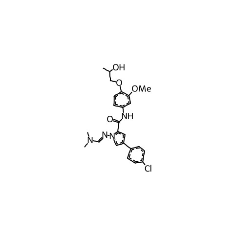 COc1cc(NC(=O)c2cc(-c3ccc(Cl)cc3)cn2/N=C/N(C)C)ccc1OCC(C)O